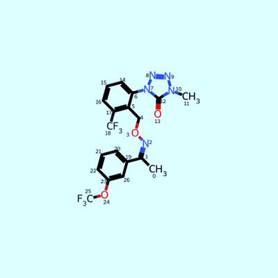 CC(=NOCc1c(-n2nnn(C)c2=O)cccc1C(F)(F)F)c1cccc(OC(F)(F)F)c1